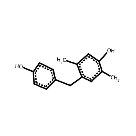 Cc1cc(Cc2ccc(O)cc2)c(C)cc1O